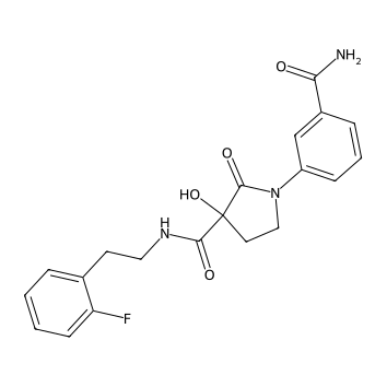 NC(=O)c1cccc(N2CCC(O)(C(=O)NCCc3ccccc3F)C2=O)c1